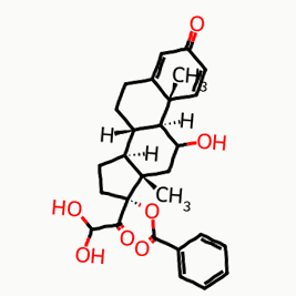 C[C@]12C=CC(=O)C=C1CC[C@@H]1[C@@H]2C(O)C[C@@]2(C)[C@H]1CC[C@]2(OC(=O)c1ccccc1)C(=O)C(O)O